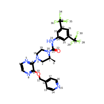 C[C@H]1CN(c2nccnc2OCc2ccncc2)CCN1C(=O)Nc1cc(C(F)(F)F)cc(C(F)(F)F)c1